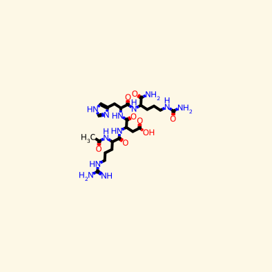 CC(=O)NC(CCCNC(=N)N)C(=O)NC(CC(=O)O)C(=O)NC(Cc1c[nH]cn1)C(=O)NC(CCCNC(N)=O)C(N)=O